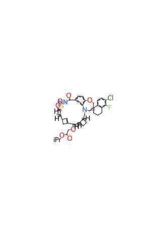 CC(C)OC(=O)CO[C@H]1C2=CC(C2)[C@H](C)[C@@H](C)S(=O)(=O)NC(=O)c2ccc3c(c2)N(C[C@@H]2CC[C@H]21)C[C@@]1(CCCc2c1ccc(Cl)c2F)CO3